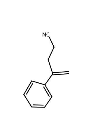 C=C(CCC#N)c1ccccc1